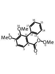 COOC(=O)c1ccc(OC)c(OC)c1-c1ccccc1